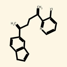 C=C(CCC(=C)c1ncccc1Cl)c1ccc2c(c1)C=CC2